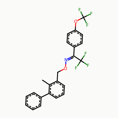 Cc1c(CON=C(c2ccc(OC(F)(F)F)cc2)C(F)(F)F)cccc1-c1ccccc1